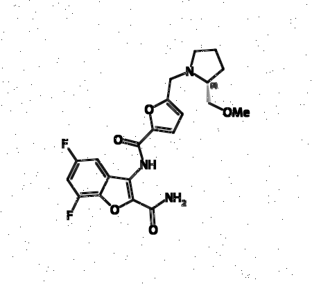 COC[C@H]1CCCN1Cc1ccc(C(=O)Nc2c(C(N)=O)oc3c(F)cc(F)cc23)o1